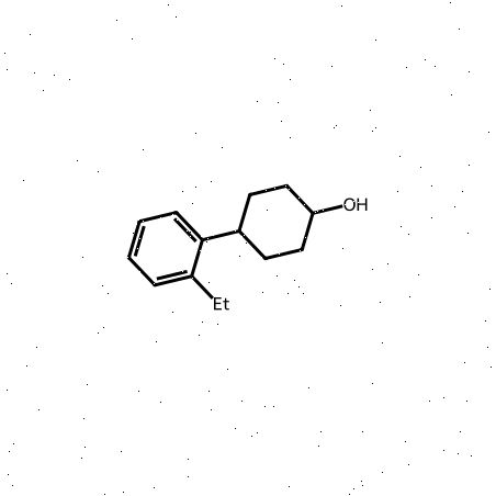 CCc1ccccc1C1CCC(O)CC1